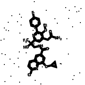 CCOc1c(CC(N)=O)cc([C@@](O)(CNC(=O)c2cc(OC3CC3)c3nc(Cl)ccc3c2)C(F)(F)F)nc1-c1ccc(F)cc1